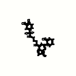 O=S(=O)(NCCCNc1cc(-c2ccccc2Cl)nc2c(Br)cnn12)c1ccc(Cl)c(Cl)c1